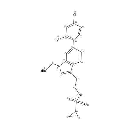 CC(C)(C)Cn1cc(CCNS(=O)(=O)C2CC2)c2ccc(-c3ccc(Cl)cc3C(F)(F)F)cc21